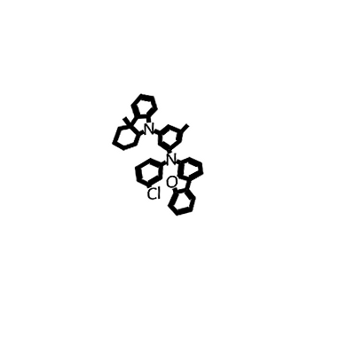 Cc1cc(N(c2cccc(Cl)c2)c2cccc3c2oc2ccccc23)cc(N2c3ccccc3C3(C)CCCCC23)c1